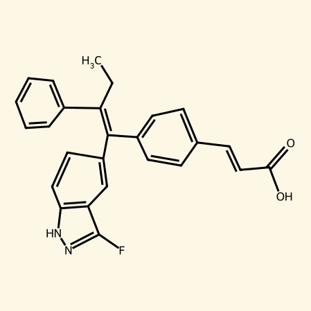 CCC(=C(c1ccc(C=CC(=O)O)cc1)c1ccc2[nH]nc(F)c2c1)c1ccccc1